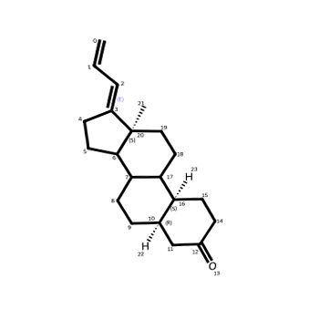 C=C/C=C1\CCC2C3CC[C@@H]4CC(=O)CC[C@@H]4C3CC[C@]12C